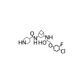 O=C(NC1CC(NC(O)COc2ccc(Cl)c(F)c2)C2CC1C2)C1CCNCC1